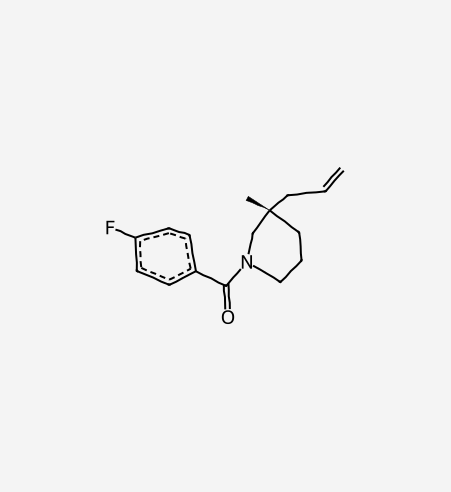 C=CC[C@]1(C)CCCN(C(=O)c2ccc(F)cc2)C1